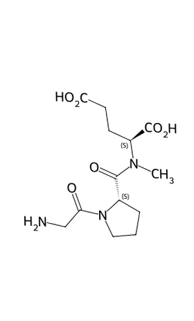 CN(C(=O)[C@@H]1CCCN1C(=O)CN)[C@@H](CCC(=O)O)C(=O)O